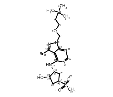 C[Si](C)(C)CCOCn1nc(Br)c2c(N[C@@H]3C[C@@H](S(C)(=O)=O)C[C@H]3O)ncnc21